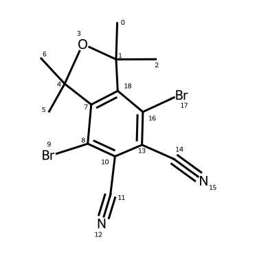 CC1(C)OC(C)(C)c2c(Br)c(C#N)c(C#N)c(Br)c21